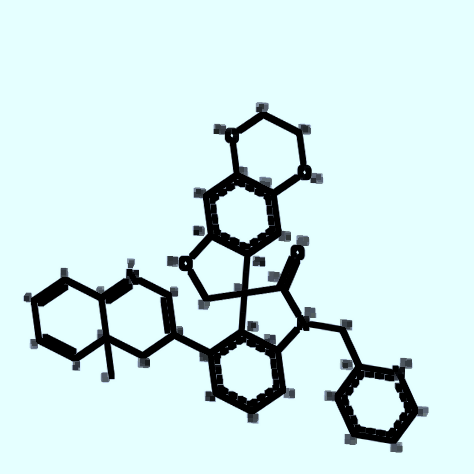 CC12C=CC=CC1=NC=C(c1cccc3c1C1(COc4cc5c(cc41)OCCO5)C(=O)N3Cc1ccccn1)C2